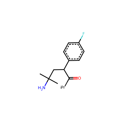 CC(C)C(=O)C(CC(C)(C)N)c1ccc(F)cc1